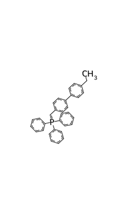 CCc1ccc(-c2ccc(C=P(c3ccccc3)(c3ccccc3)c3ccccc3)cc2)cc1